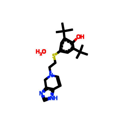 CC(C)(C)c1cc(SCCN2C=Cc3[nH]cnc3C2)cc(C(C)(C)C)c1O.O